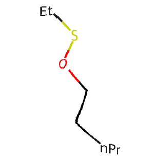 CCCCCOSCC